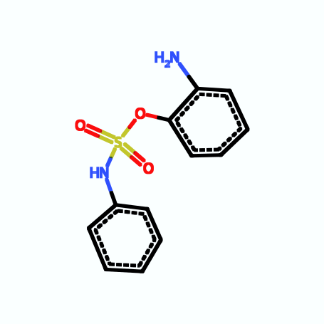 Nc1ccccc1OS(=O)(=O)Nc1ccccc1